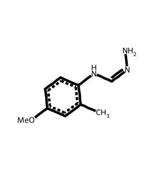 COc1ccc(N/C=N\N)c(C)c1